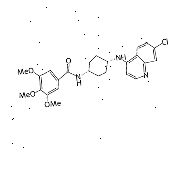 COc1cc(C(=O)N[C@H]2CC[C@@H](Nc3ccnc4cc(Cl)ccc34)CC2)cc(OC)c1OC